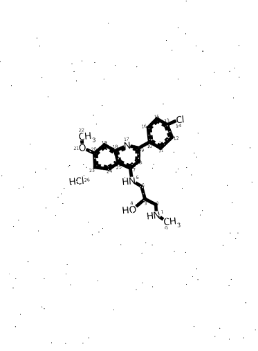 CNCC(O)CNc1cc(-c2ccc(Cl)cc2)nc2cc(OC)ccc12.Cl